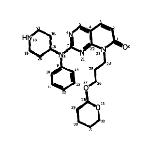 O=c1ccc2cnc(N(c3ccccc3)C3CCNCC3)nc2n1CCCOC1CCCCO1